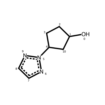 OC1CCC(n2nccn2)C1